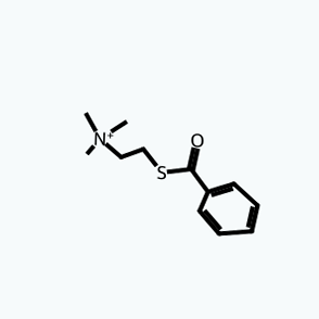 C[N+](C)(C)CCSC(=O)c1ccccc1